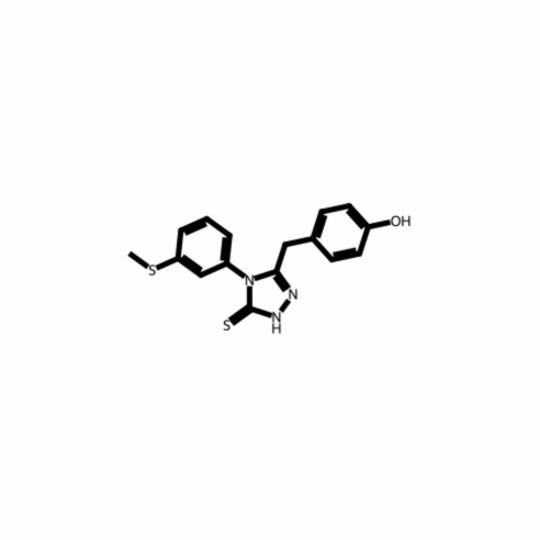 CSc1cccc(-n2c(Cc3ccc(O)cc3)n[nH]c2=S)c1